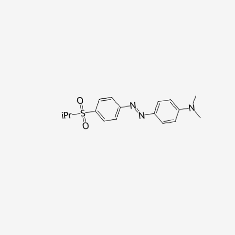 CC(C)S(=O)(=O)c1ccc(/N=N/c2ccc(N(C)C)cc2)cc1